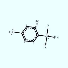 F[B-](F)(F)c1ccc(C(F)(F)F)cc1.[K+]